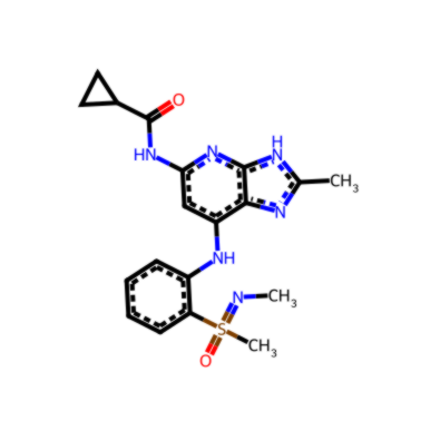 CN=S(C)(=O)c1ccccc1Nc1cc(NC(=O)C2CC2)nc2[nH]c(C)nc12